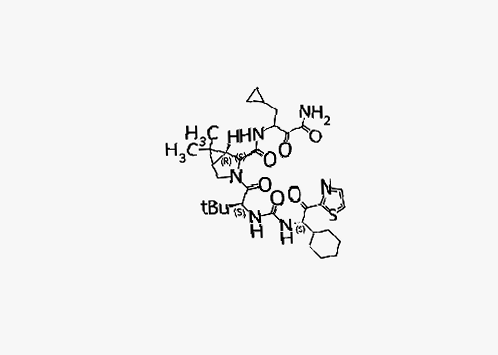 CC(C)(C)[C@H](NC(=O)N[C@H](C(=O)c1nccs1)C1CCCCC1)C(=O)N1CC2[C@@H]([C@H]1C(=O)NC(CC1CC1)C(=O)C(N)=O)C2(C)C